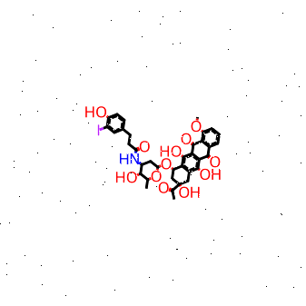 COc1cccc2c1C(=O)c1c(O)c3c(c(O)c1C2=O)CC(O)(C(C)=O)CC3OC1CC(NC(=O)CCc2ccc(O)c(I)c2)C(O)C(C)O1